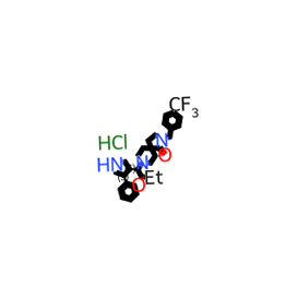 CCC(=O)C([C@@H]1CNC[C@@H]1c1ccccc1)N1CCC2(CCN(Cc3ccc(C(F)(F)F)cc3)C2=O)CC1.Cl